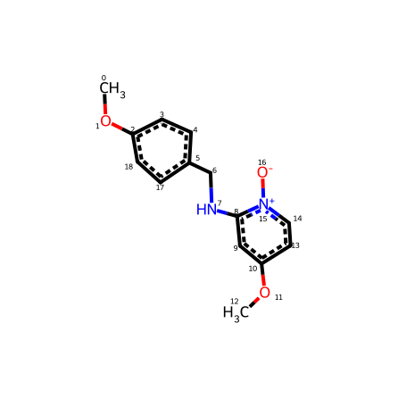 COc1ccc(CNc2cc(OC)cc[n+]2[O-])cc1